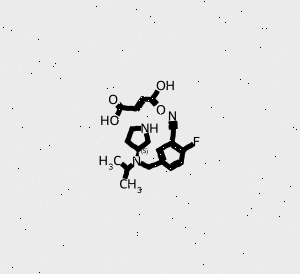 CC(C)N(Cc1ccc(F)c(C#N)c1)[C@H]1CCNC1.O=C(O)C=CC(=O)O